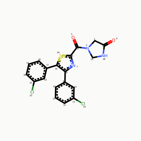 O=C1CN(C(=O)c2nc(-c3cccc(Cl)c3)c(-c3cccc(Cl)c3)s2)CN1